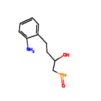 Nc1ccccc1CCC(O)C[PH]=O